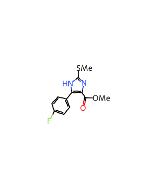 COC(=O)c1nc(SC)[nH]c1-c1ccc(F)cc1